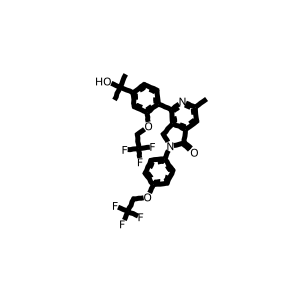 Cc1cc2c(c(-c3ccc(C(C)(C)O)cc3OCC(F)(F)F)n1)CN(c1ccc(OCC(F)(F)F)cc1)C2=O